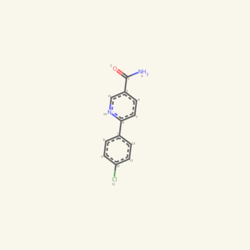 NC(=O)c1ccc(-c2ccc(Cl)cc2)nc1